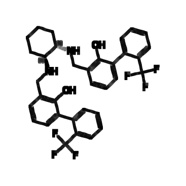 Oc1c(CN[C@H]2CCCC[C@@H]2NCc2cccc(-c3ccccc3C(F)(F)F)c2O)cccc1-c1ccccc1C(F)(F)F